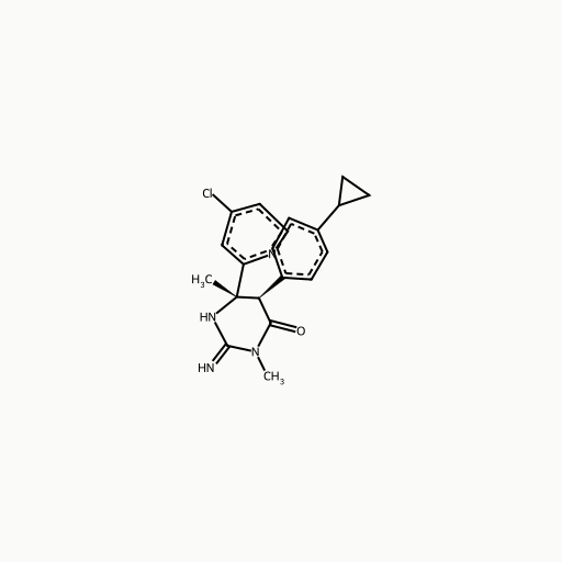 CN1C(=N)N[C@](C)(c2cc(Cl)ccn2)[C@@H](c2ccc(C3CC3)cc2)C1=O